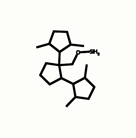 CC1CCC(C)C1C1CCCC1(CO[SiH3])C1C(C)CCC1C